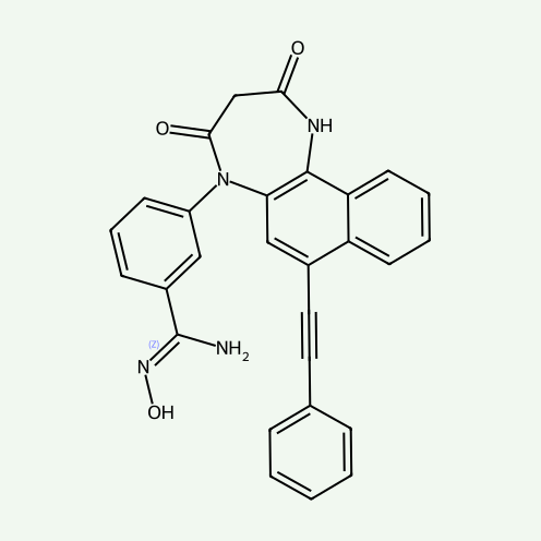 N/C(=N\O)c1cccc(N2C(=O)CC(=O)Nc3c2cc(C#Cc2ccccc2)c2ccccc32)c1